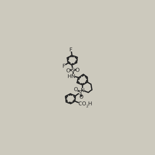 O=C(O)c1ccccc1S(=O)(=O)N1CCCc2ccc(NS(=O)(=O)c3ccc(F)cc3F)cc21